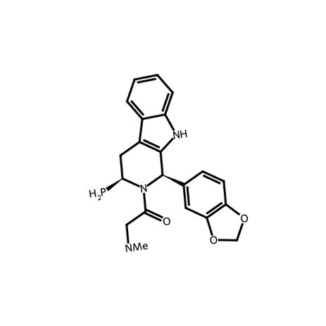 CNCC(=O)N1[C@H](c2ccc3c(c2)OCO3)c2[nH]c3ccccc3c2C[C@@H]1P